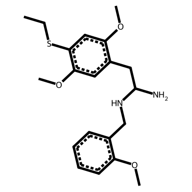 CCSc1cc(OC)c(CC(N)NCc2ccccc2OC)cc1OC